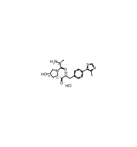 Cc1ncsc1-c1ccc(CNC(=O)[C@@H]2C[C@@H](O)CN2C(=O)[C@H](C)N)cc1.Cl